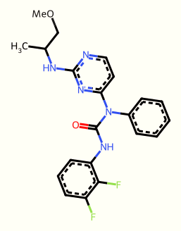 COCC(C)Nc1nccc(N(C(=O)Nc2cccc(F)c2F)c2ccccc2)n1